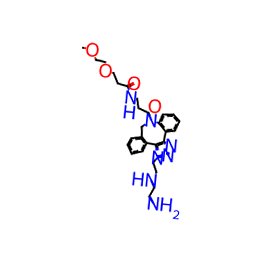 COCCOCCC(=O)NCCC(=O)N1Cc2ccccc2-c2c(nnn2CCNCCN)-c2ccccc21